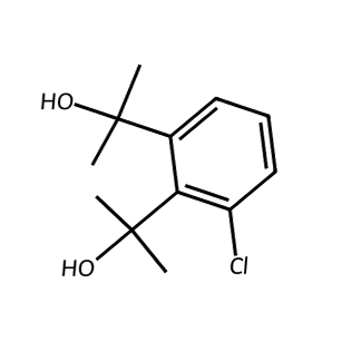 CC(C)(O)c1cccc(Cl)c1C(C)(C)O